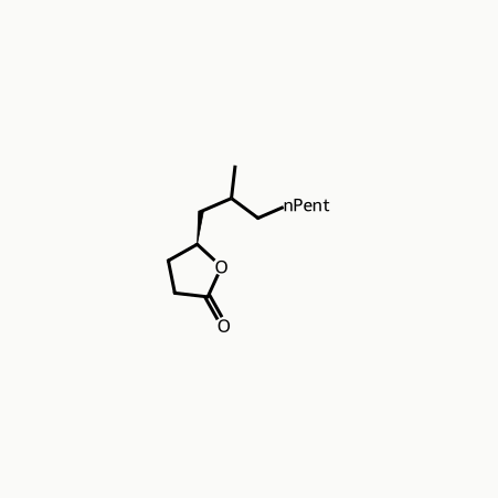 CCCCCCC(C)C[C@@H]1CCC(=O)O1